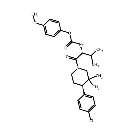 COc1ccc(OC(=O)N[C@@H](C(=O)N2CC[C@H](c3ccc(Cl)cc3)C(C)(C)C2)C(C)C)cc1